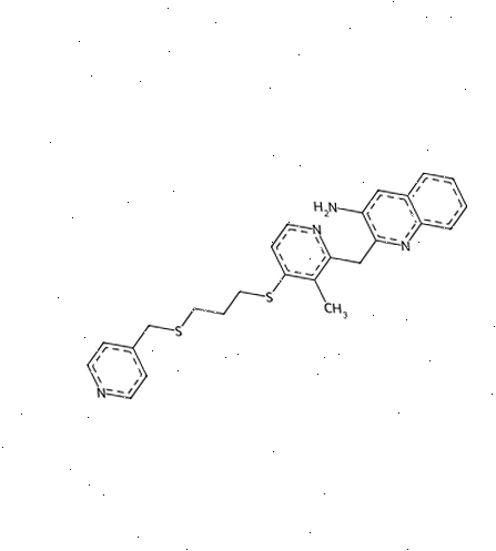 Cc1c(SCCCSCc2ccncc2)ccnc1Cc1nc2ccccc2cc1N